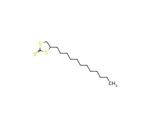 CCCCCCCCCCCCC1CSC(=S)S1